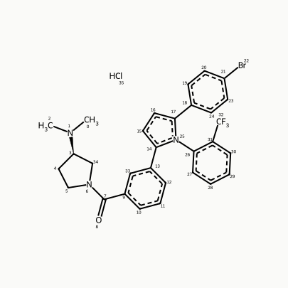 CN(C)[C@@H]1CCN(C(=O)c2cccc(-c3ccc(-c4ccc(Br)cc4)n3-c3ccccc3C(F)(F)F)c2)C1.Cl